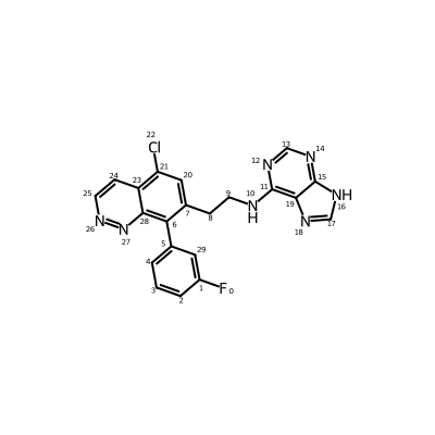 Fc1cccc(-c2c(CCNc3ncnc4[nH]cnc34)cc(Cl)c3ccnnc23)c1